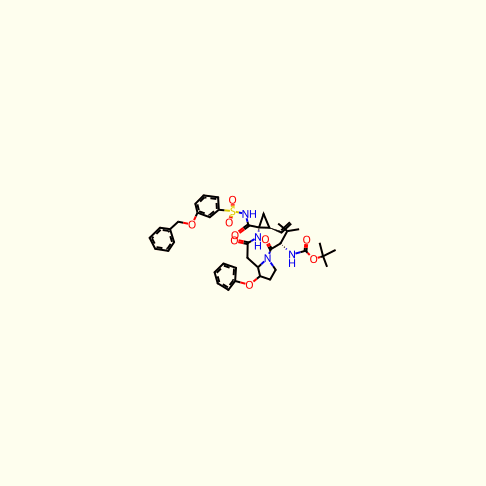 C=C[C@@H]1C[C@]1(NC(=O)CC1C(Oc2ccccc2)CCN1C(=O)[C@@H](NC(=O)OC(C)(C)C)C(C)C)C(=O)NS(=O)(=O)c1cccc(OCc2ccccc2)c1